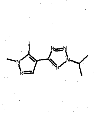 CC(C)n1nnc(-c2cnn(C)c2I)n1